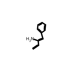 C=CC(N)=Cc1ccccc1